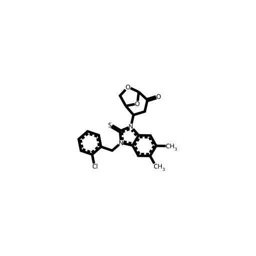 Cc1cc2c(cc1C)n(C1CC(=O)C3OCC1O3)c(=S)n2Cc1ccccc1Cl